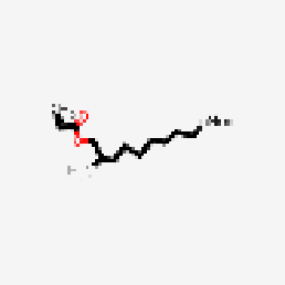 C=CC(=O)OCC(C)CCCCCCCCCCCCCCCC